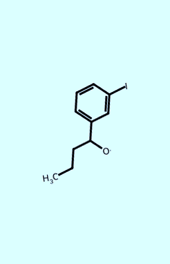 CCCC([O])c1cccc(I)c1